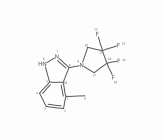 Cc1cccc2[nH]nc(N3CC(F)(F)C(F)(F)C3)c12